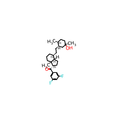 C[C@H]1CC[C@@](C)(O)C[C@H]1CC[C@@H]1CCC[C@]2(C)[C@@H](C(=O)c3cc(F)cc(F)c3)CC[C@@H]12